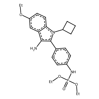 CCOc1ccc2c(c1)c(N)c(-c1ccc(NP(=O)(OCC)OCC)cc1)n2C1CCC1